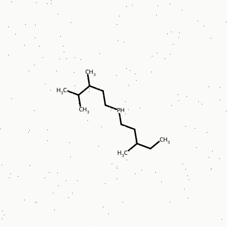 CCC(C)CCPCCC(C)C(C)C